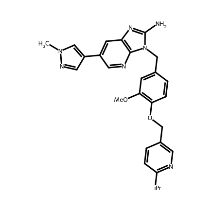 COc1cc(Cn2c(N)nc3cc(-c4cnn(C)c4)cnc32)ccc1OCc1ccc(C(C)C)nc1